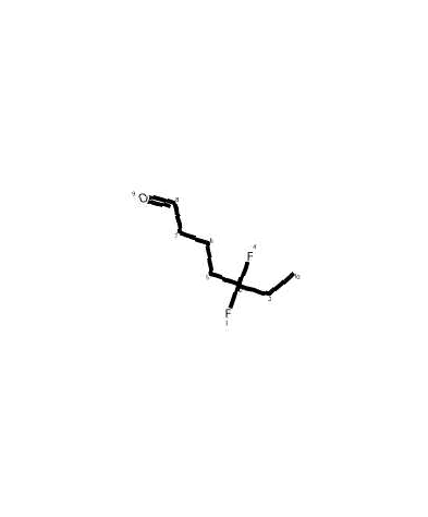 CCC(F)(F)CCCC=O